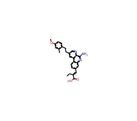 CC/C(=C\c1ccc2c(c1)nc(N)c1ncc(CCc3ccc(OC)cc3C)cc12)C(=O)O